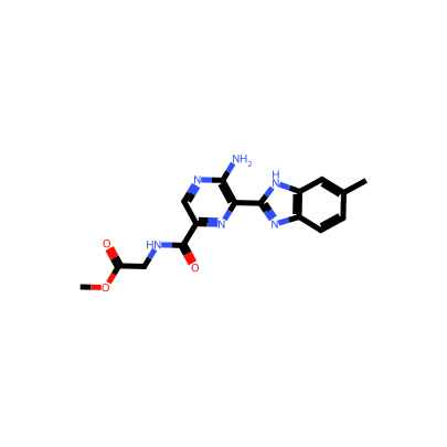 COC(=O)CNC(=O)c1cnc(N)c(-c2nc3ccc(C)cc3[nH]2)n1